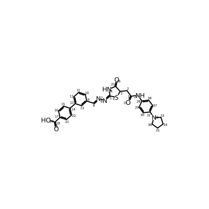 O=C(CC1S/C(=N/N=C/c2cccc(-c3ccc(C(=O)O)cc3)c2)NC1=O)Nc1ccc(N2CCCC2)cc1